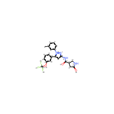 Cc1cccc(-n2nc(NC(=O)C3CNC(=O)C3)cc2-c2cccc(OC(F)(F)F)c2)c1